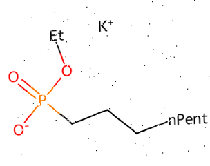 CCCCCCCCP(=O)([O-])OCC.[K+]